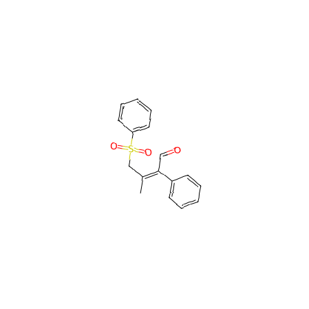 CC(CS(=O)(=O)c1ccccc1)=C(C=O)c1ccccc1